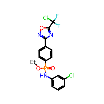 CCOP(=O)(Nc1cccc(Cl)c1)c1ccc(-c2noc(C(F)(F)Cl)n2)cc1